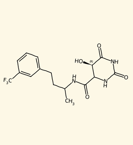 CC(CCc1cccc(C(F)(F)F)c1)NC(=O)C1NC(=O)NC(=O)[C@@H]1O